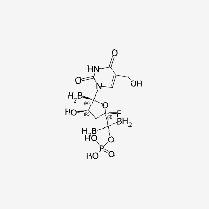 BC(B)(OP(=O)(O)O)[C@]1(F)C[C@@H](O)[C@](B)(n2cc(CO)c(=O)[nH]c2=O)O1